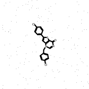 O=c1ncn(Cc2ccc(Cl)cc2)c2cc(-c3ccc(Cl)cc3)sc12